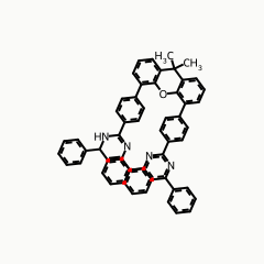 CC1(C)c2cccc(-c3ccc(C4=NC(c5ccccc5)=CC(c5ccccc5)N4)cc3)c2Oc2c(-c3ccc(-c4nc(-c5ccccc5)cc(-c5ccccc5)n4)cc3)cccc21